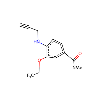 C#CCNc1ccc(C(=O)NC)cc1OCC(F)(F)F